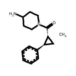 C.NC1CCN(C(=O)[C@@H]2C[C@H]2c2ccccc2)CC1